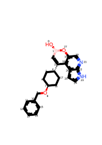 OB1C=C([C@H]2CC[C@H](OCc3ccccc3)CC2)c2c(cnc3[nH]ccc23)O1